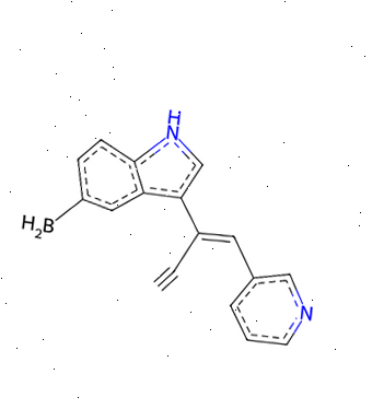 Bc1ccc2[nH]cc(/C(C#C)=C/c3cccnc3)c2c1